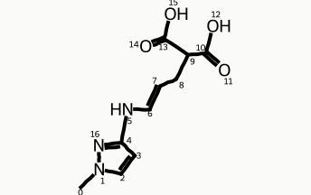 Cn1ccc(NC=CCC(C(=O)O)C(=O)O)n1